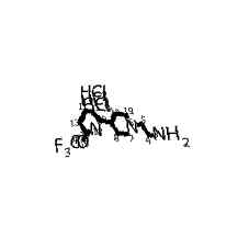 Cl.Cl.Cl.NCCN1CCC(c2cccc(OC(F)(F)F)n2)CC1